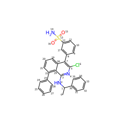 CC(Nc1nc(Cl)c(-c2cccc(S(N)(=O)=O)c2)c2cccc(-c3ccccc3)c12)c1ccccc1